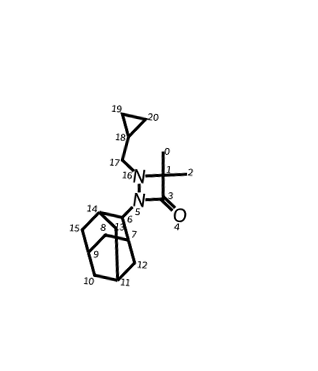 CC1(C)C(=O)N(C2C3CC4CC(C3)CC2C4)N1CC1CC1